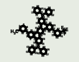 Cc1cccc(-c2ccc3c(c2)c2cc4c5ccc(N(c6ccccc6)c6ccccc6)cc5c5ccc(-c6cccc(C(F)(F)F)c6)cc5c4cc2c2ccc(N(c4ccccc4)c4ccccc4)cc32)c1